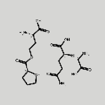 NC(=O)CC[C@H](N)C(=O)O.NCC(=O)O.N[C@@H](CCOC(=O)[C@@H]1CCCN1)C(=O)O